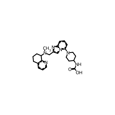 CN(Cc1cn2c(N3CCC(NC(=O)O)CC3)cccc2n1)C1CCCc2cccnc21